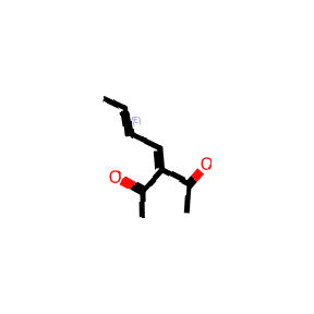 C/C=C/C=C(C(C)=O)C(C)=O